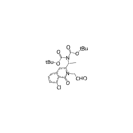 CC(c1cc2cccc(Cl)c2c(=O)n1CC=O)N(C(=O)OC(C)(C)C)C(=O)OC(C)(C)C